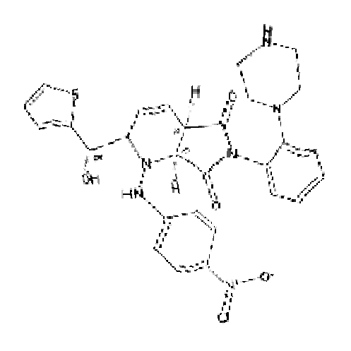 O=C1[C@@H]2[C@@H](C=CC([C@H](O)c3cccs3)N2Nc2ccc([N+](=O)[O-])cc2)C(=O)N1c1ccccc1N1CCNCC1